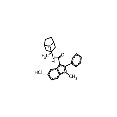 Cl.Cn1c(-c2ccccc2)c(C(=O)NC2CC3CCC(C2)N3CC(F)(F)F)c2ccccc21